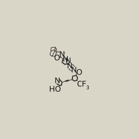 CN(CC12CC3CC(CC(C3)C1)C2)C(=O)c1ccc(N2CCN(C(=O)c3cc(C#Cc4cncc(O)c4)cc(C(F)(F)F)c3)CC2)nn1